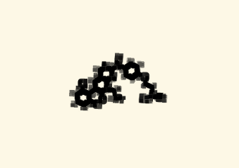 CCN(CC)CCOc1ccc(Nc2ncc3cc(-c4c(Cl)cccc4Cl)c(=O)n(CC(C)C)c3n2)cc1